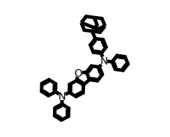 c1ccc(N(c2ccccc2)c2ccc3c(c2)oc2cc(N(c4ccccc4)c4ccc(C56CC7CC(CC(C7)C5)C6)cc4)ccc23)cc1